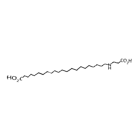 O=C(O)CCCCCCCCCCCCCCCCCCCCCNCCC(=O)O